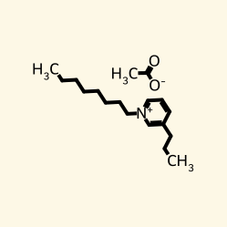 CC(=O)[O-].CCCCCCCC[n+]1cccc(CCC)c1